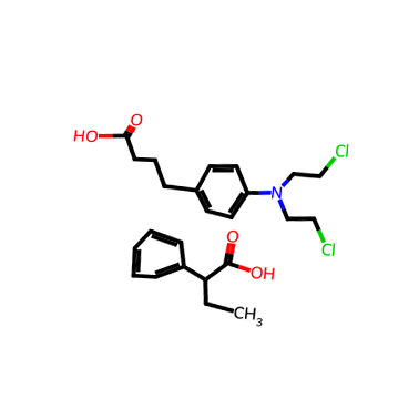 CCC(C(=O)O)c1ccccc1.O=C(O)CCCc1ccc(N(CCCl)CCCl)cc1